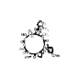 CC[C@H](C)[C@H]1NC(=O)[C@@H](NC(=O)C(CC(C)C)N(C)C(C)=O)[C@@H](C)OC(=O)[C@H](Cc2ccc(OC)cc2)N(C)C(=O)[C@@H]2CCCN2C(=O)[C@H](CC(C)C)NC(=O)[C@H](C(C)C)OC(=O)C[C@@H]1O